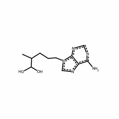 CC(CCCn1cnc2c(N)ncnc21)C(O)O